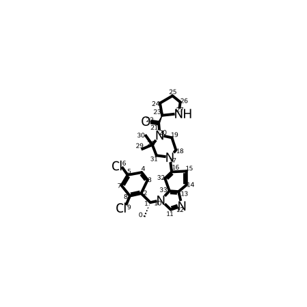 C[C@H](c1ccc(Cl)cc1Cl)n1cnc2ccc(N3CCN(C(=O)[C@H]4CCCN4)C(C)(C)C3)cc21